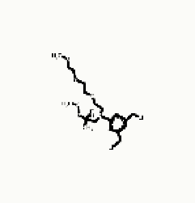 COCCOCCOCCN(CC(C)(C)SSC)c1cc(CCl)cc(CCl)c1